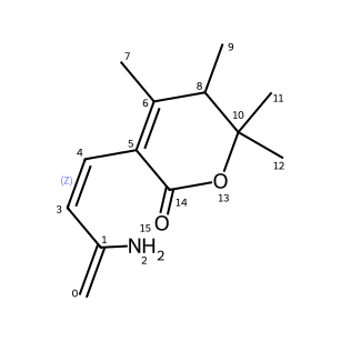 C=C(N)/C=C\C1=C(C)C(C)C(C)(C)OC1=O